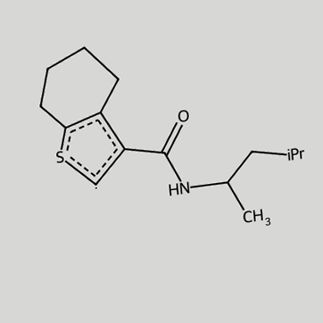 CC(C)CC(C)NC(=O)c1[c]sc2c1CCCC2